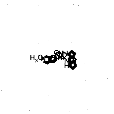 CN1CCc2ccc([S@](N)(=O)=NC(=O)Nc3c4c(cc5c3CCC5)CCC4)cc2C1